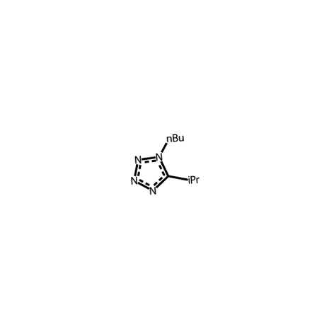 CCCCn1nnnc1C(C)C